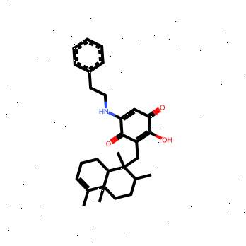 CC1=CCCC2C1(C)CCC(C)C2(C)CC1=C(O)C(=O)C=C(NCCc2ccccc2)C1=O